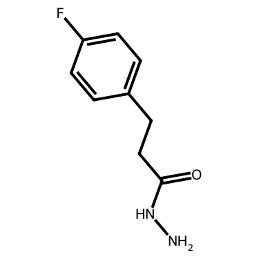 NNC(=O)CCc1ccc(F)cc1